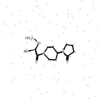 CC(C)(C)[C@@H](NC(=O)O)C(=O)N1CCC(N2CCCC2=O)CC1